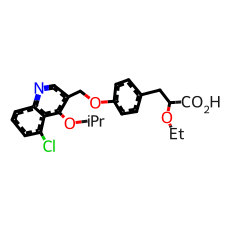 CCOC(Cc1ccc(OCc2cnc3cccc(Cl)c3c2OC(C)C)cc1)C(=O)O